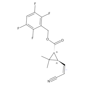 CC1(C)[C@H](/C=C\C#N)[C@H]1C(=O)OCc1c(F)c(F)cc(F)c1F